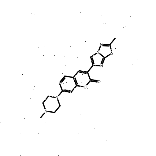 Cc1nn2cc(-c3cc4ccc(N5CCN(C)CC5)cc4oc3=O)nc2s1